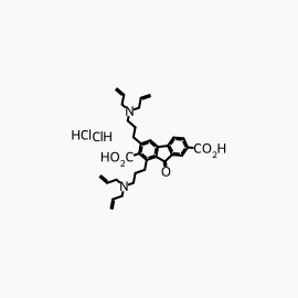 C=CCN(CC=C)CCCc1cc2c(c(CCCN(CC=C)CC=C)c1C(=O)O)C(=O)c1cc(C(=O)O)ccc1-2.Cl.Cl